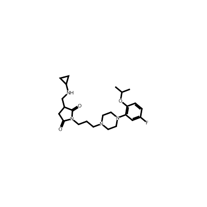 CC(C)Oc1ccc(F)cc1N1CCN(CCCN2C(=O)CC(CNC3CC3)C2=O)CC1